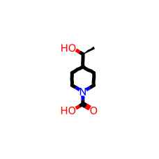 C[C@H](O)C1CCN(C(=O)O)CC1